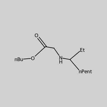 CCCCCC(CC)NCC(=O)OCCCC